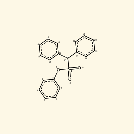 O=S(=O)(Oc1ccccc1)P(c1ccccc1)c1ccccc1